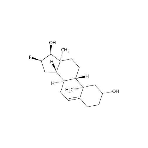 C[C@]12CC[C@H]3[C@@H](CC=C4CC[C@@H](O)C[C@@]43C)[C@@H]1C[C@@H](F)[C@H]2O